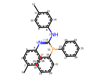 Cc1ccc(/N=C(/Nc2ccc(C)cc2)P(c2ccccc2)c2ccccc2)cc1